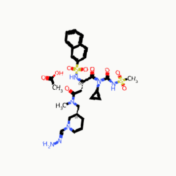 CC(=O)O.CN(C[C@H]1CCCN(C=NN)C1)C(=O)C[C@H](NS(=O)(=O)c1ccc2ccccc2c1)C(=O)N(C(=O)NS(C)(=O)=O)C1CC1